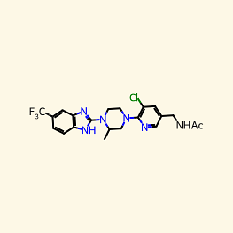 CC(=O)NCc1cnc(N2CCN(c3nc4cc(C(F)(F)F)ccc4[nH]3)C(C)C2)c(Cl)c1